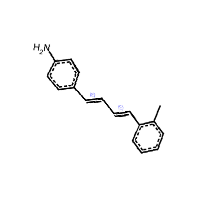 Cc1ccccc1/C=C/C=C/c1ccc(N)cc1